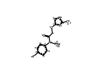 CC(C)N(C(=O)COc1nnc(C(F)(F)F)s1)c1ccc(F)cc1.[NaH]